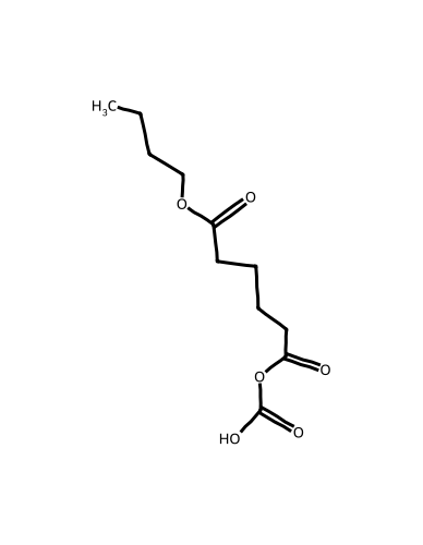 CCCCOC(=O)CCCCC(=O)OC(=O)O